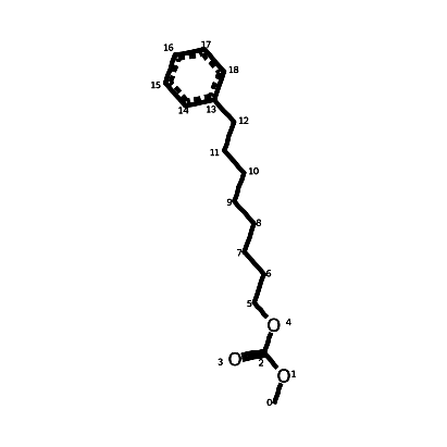 COC(=O)OCCCCCCCCc1ccccc1